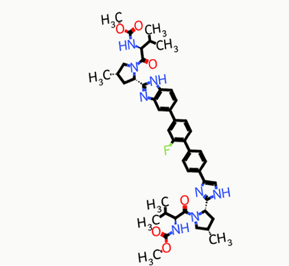 COC(=O)N[C@H](C(=O)N1C[C@@H](C)C[C@H]1c1nc(-c2ccc(-c3ccc(-c4ccc5[nH]c([C@@H]6C[C@H](C)CN6C(=O)[C@@H](NC(=O)OC)C(C)C)nc5c4)cc3F)cc2)c[nH]1)C(C)C